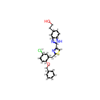 OCCc1ccc2[nH]c(-c3csc(Cc4cc(Cl)ccc4OCc4ccccc4)n3)nc2c1